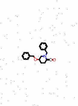 O=C=C1CCC(OCc2ccccc2)CN1Cc1ccccc1